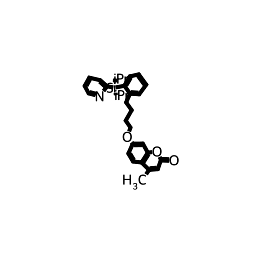 Cc1cc(=O)oc2cc(OCCCCc3ccccc3[Si](c3ccccn3)(C(C)C)C(C)C)ccc12